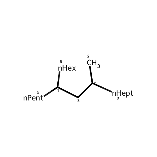 CCCCCCCC(C)CC(CCCCC)CCCCCC